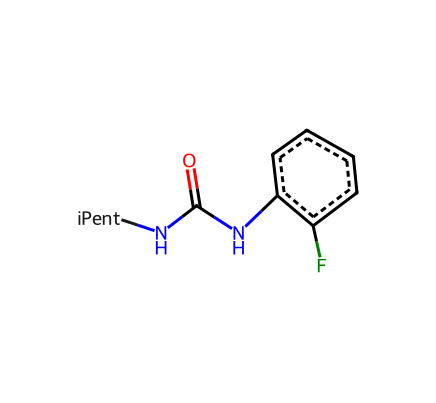 CCCC(C)NC(=O)Nc1ccccc1F